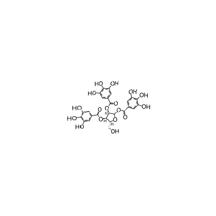 O=C(OC1O[C@H](CO)[C@@H](OC(=O)c2cc(O)c(O)c(O)c2)[C@H]1OC(=O)c1cc(O)c(O)c(O)c1)c1cc(O)c(O)c(O)c1